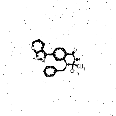 CC1(C)NC(=O)c2ccc(-c3n[nH]c4ncccc34)cc2N1Cc1ccccc1